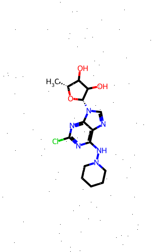 C[C@H]1O[C@@H](n2cnc3c(NN4CCCCC4)nc(Cl)nc32)C(O)C1O